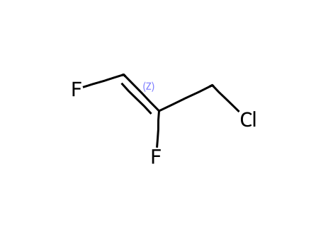 F/C=C(\F)CCl